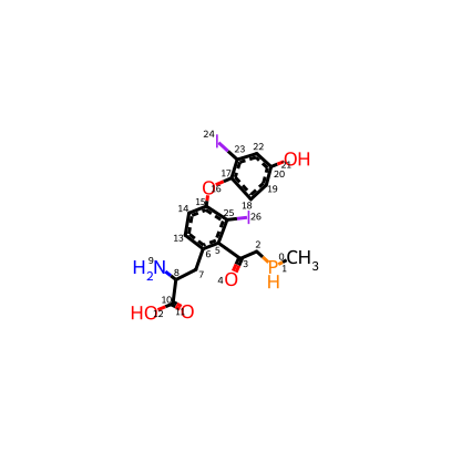 CPCC(=O)c1c(CC(N)C(=O)O)ccc(Oc2ccc(O)cc2I)c1I